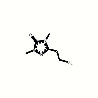 Cn1nc(SCC(F)(F)F)n(C)c1=O